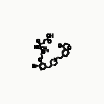 COCCOc1cc(CC2CCN(CCc3ccc4c(c3)C(=O)CCO4)CC2)ccc1Br.O=C(O)C=CC(=O)O